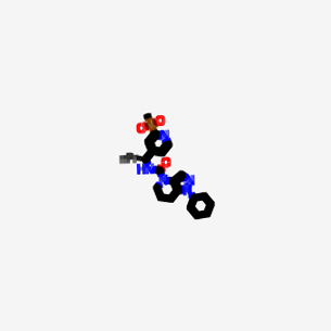 CCC[C@H](NC(=O)N1CCCc2c1cnn2C1CCCCC1)c1ccnc(S(C)(=O)=O)c1